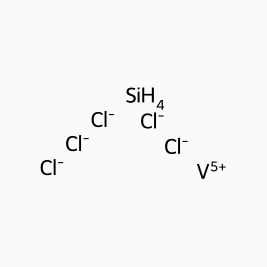 [Cl-].[Cl-].[Cl-].[Cl-].[Cl-].[SiH4].[V+5]